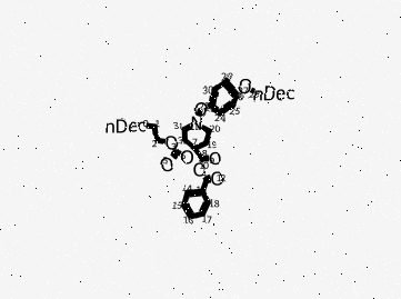 CCCCCCCCCCCCOC(=O)OC1(C(=O)OC(=O)c2ccccc2)CCN(Oc2ccc(OCCCCCCCCCC)cc2)CC1